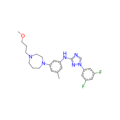 COCCCN1CCCN(c2cc(C)cc(Nc3ncn(-c4cc(F)cc(F)c4)n3)c2)CC1